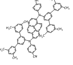 [C-]#[N+]c1ccc(N(c2cc(-c3cc(C)cc(C)c3)cc(-c3cc(C)cc(C)c3)c2)c2ccc3ccc4c(N(c5ccc(C#N)cc5)c5cc(-c6cc(C)cc(C)c6)cc(-c6cc(C)cc(C)c6)c5)ccc5ccc2c3c54)cc1